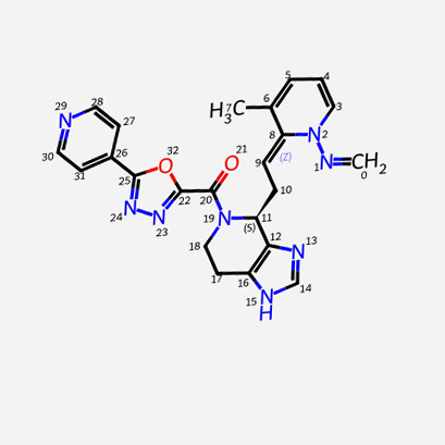 C=NN1C=CC=C(C)/C1=C/C[C@H]1c2nc[nH]c2CCN1C(=O)c1nnc(-c2ccncc2)o1